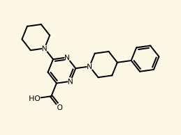 O=C(O)c1cc(N2CCCCC2)nc(N2CCC(c3ccccc3)CC2)n1